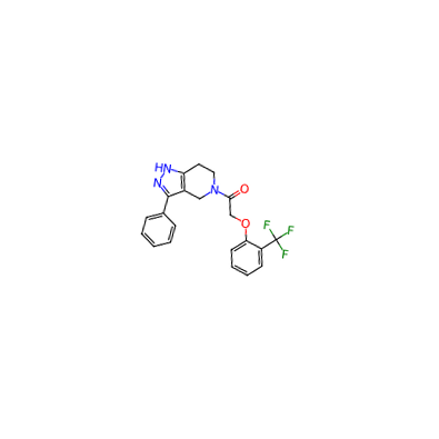 O=C(COc1ccccc1C(F)(F)F)N1CCc2[nH]nc(-c3ccccc3)c2C1